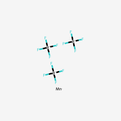 F[B-](F)(F)F.F[B-](F)(F)F.F[B-](F)(F)F.[Mn]